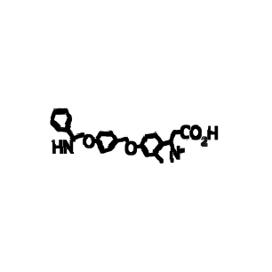 Cc1cc(OCc2ccc(OCC(=N)c3ccccc3)cc2)ccc1C(CC(=O)O)N(C)C